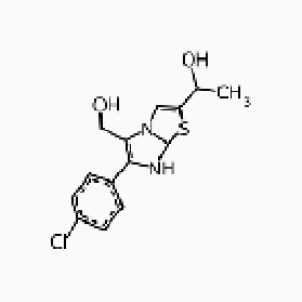 CC(O)C1=CN2C(CO)=C(c3ccc(Cl)cc3)NC2S1